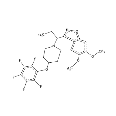 CCC(c1noc2cc(OC)c(OC)cc12)N1CCC(Oc2c(F)c(F)c(F)c(F)c2F)CC1